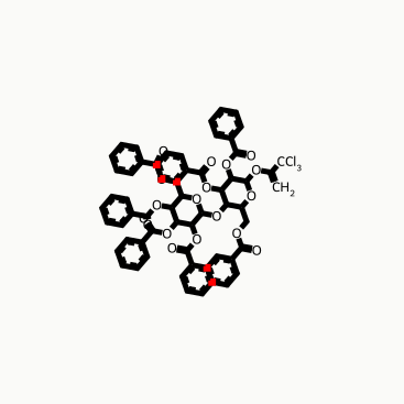 C=C(OC1OC(COC(=O)c2ccccc2)C(OC2OC(COC(=O)c3ccccc3)C(OC(=O)c3ccccc3)C(OC(=O)c3ccccc3)C2OC(=O)c2ccccc2)C(OC(=O)c2ccccc2)C1OC(=O)c1ccccc1)C(Cl)(Cl)Cl